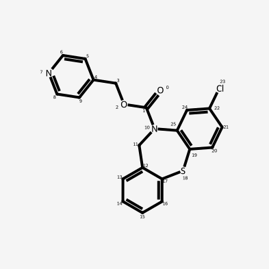 O=C(OCc1ccncc1)N1Cc2ccccc2Sc2ccc(Cl)cc21